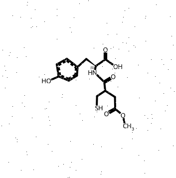 COC(=O)CC(CS)C(=O)N[C@@H](Cc1ccc(O)cc1)C(=O)O